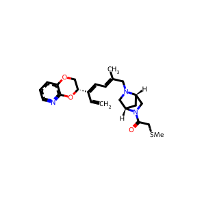 C=C/C(=C\C=C(/C)CN1C[C@@H]2C[C@H]1CN2C(=O)CSC)[C@H]1COc2cccnc2O1